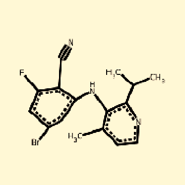 Cc1ccnc(C(C)C)c1Nc1cc(Br)cc(F)c1C#N